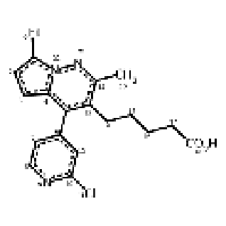 CCc1ccc2c(-c3ccnc(Cl)c3)c(CCCCC(=O)O)c(C)nn12